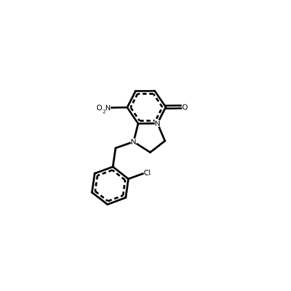 O=c1ccc([N+](=O)[O-])c2n1CCN2Cc1ccccc1Cl